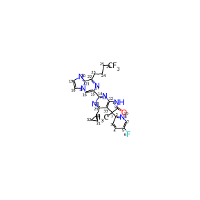 CC1(c2ccc(F)cn2)C(=O)Nc2nc(-c3cn4ccnc4c(CCCC(F)(F)F)n3)nc(C3CC3)c21